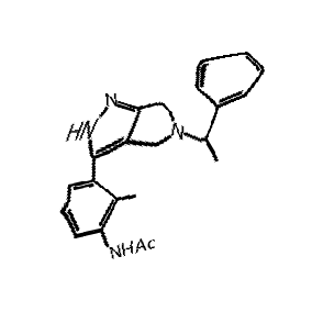 CC(=O)Nc1cccc(-c2[nH]nc3c2CN(C(C)c2ccccc2)C3)c1C